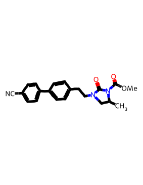 COC(=O)N1C(=O)N(CCc2ccc(-c3ccc(C#N)cc3)cc2)CC1C